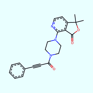 CC1(C)OC(=O)c2c1ccnc2N1CCN(C(=O)C#Cc2ccccc2)CC1